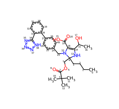 CCCCC1(COC(=O)C(C)(C)C)NC(C(C)O)=C(C(=O)O)N1Cc1ccc(-c2ccccc2-c2nnn[nH]2)cc1